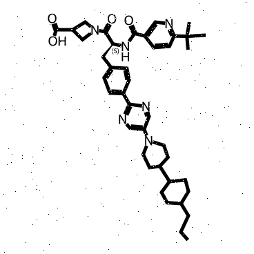 CCCC1CCC(C2CCN(c3cnc(-c4ccc(C[C@H](NC(=O)c5ccc(C(C)(C)C)nc5)C(=O)N5CC(C(=O)O)C5)cc4)nc3)CC2)CC1